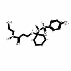 CCN(CCO)C(=O)CCOC1(N(C)S(=O)(=O)c2ccc(C(F)(F)F)cc2)CCCCC1